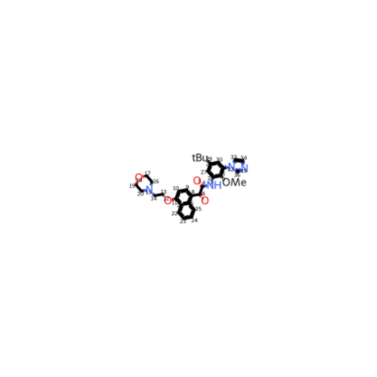 COc1c(NC(=O)C(=O)c2ccc(OCCN3CCOCC3)c3ccccc23)cc(C(C)(C)C)cc1-n1ccnc1